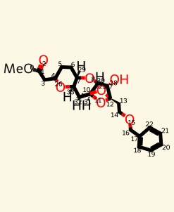 COC(=O)CC1CC[C@@H]2O[C@@H]3[C@H]4O[C@](CCOCc5ccccc5)(O[C@H]4[C@H]2O1)[C@H]3O